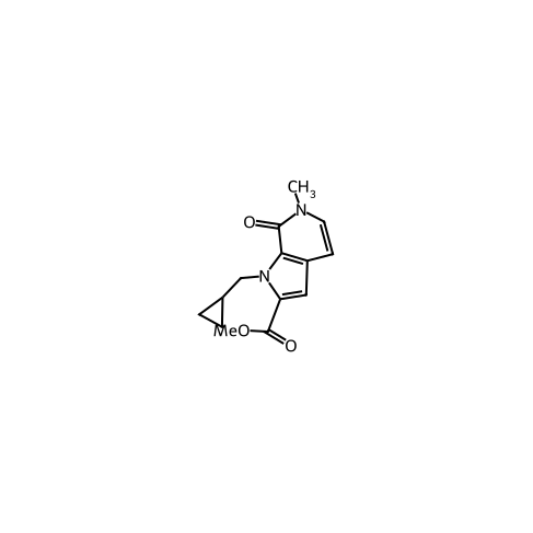 COC(=O)c1cc2ccn(C)c(=O)c2n1CC1CC1